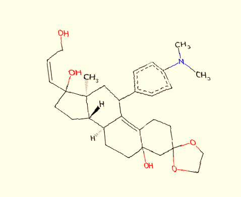 CN(C)c1ccc(C2C[C@@]3(C)[C@@H](CCC3(O)/C=C\CO)[C@@H]3CCC4(O)CC5(CCC4=C23)OCCO5)cc1